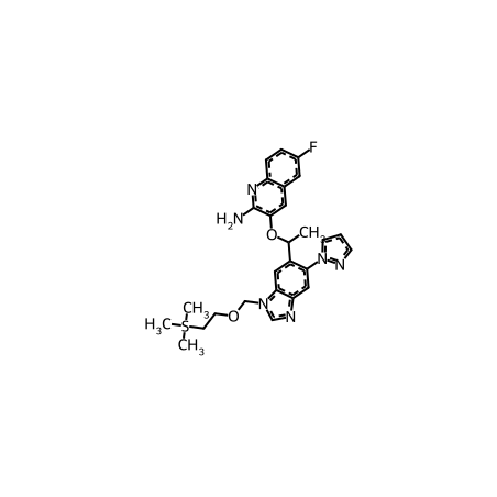 CC(Oc1cc2cc(F)ccc2nc1N)c1cc2c(cc1-n1cccn1)ncn2COCCS(C)(C)C